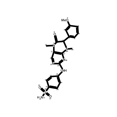 COc1cccc(C2C(=O)N(C)c3cnc(Nc4ccc(S(N)(=O)=O)cc4)nc3N2C)c1